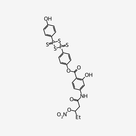 CCC(CC(=O)Nc1ccc(C(=O)Oc2ccc(P3(=S)SP(=S)(c4ccc(O)cc4)S3)cc2)c(O)c1)O[N+](=O)[O-]